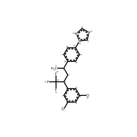 CC(CC(c1cc(Cl)cc(Cl)c1)C(F)(F)F)c1ccc(-n2cncn2)cc1